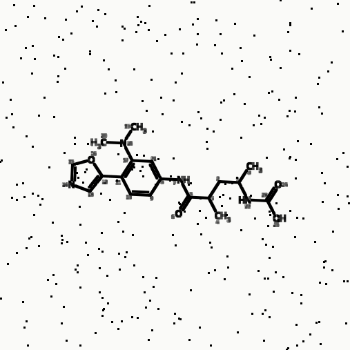 CC(CC(C)C(=O)Nc1ccc(-c2cnco2)c(N(C)C)c1)NC(=O)O